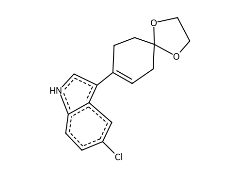 Clc1ccc2[nH]cc(C3=CCC4(CC3)OCCO4)c2c1